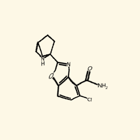 NC(=O)c1c(Cl)ccc2oc(C34CCC(CN3)C4)nc12